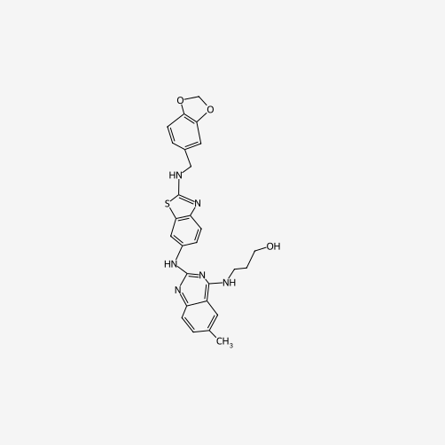 Cc1ccc2nc(Nc3ccc4nc(NCc5ccc6c(c5)OCO6)sc4c3)nc(NCCCO)c2c1